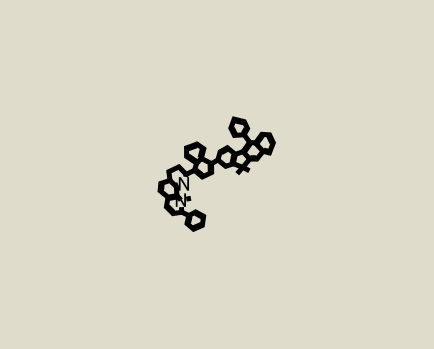 CN1C2=C(C=CC3CCC(c4ccc(C5C=CC6=C(C5)C(C)(C)c5cc7ccccc7c(-c7ccccc7)c56)c5ccccc45)N=C23)C=CC1c1ccccc1